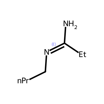 CCCC/N=C(/N)CC